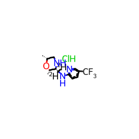 Cl.[2H]C([2H])(Nc1ccc(C(F)(F)F)cn1)[C@H]1NC[C@@H](C)O[C@H]1C